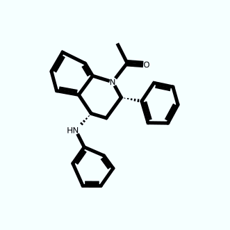 CC(=O)N1c2ccccc2[C@@H](Nc2ccccc2)C[C@H]1c1ccccc1